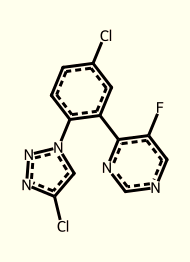 Fc1cncnc1-c1cc(Cl)ccc1-n1cc(Cl)nn1